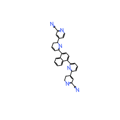 N#CC1=NCCC(c2cccc(-c3ccc(C4=NC(c5ccnc(C#N)c5)CC=C4)c4ccccc34)n2)=C1